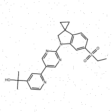 CCS(=O)(=O)c1ccc2c(c1)N(c1ncc(-c3cc(C(C)(C)O)ccn3)cn1)CC21CC1